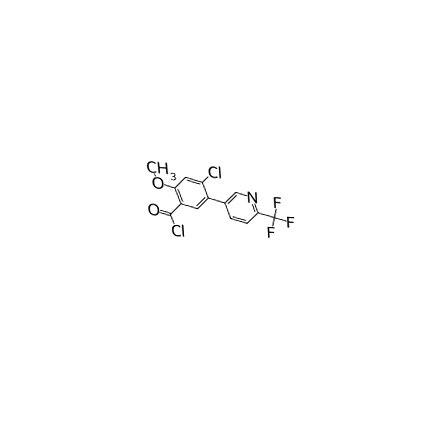 COc1cc(Cl)c(-c2ccc(C(F)(F)F)nc2)cc1C(=O)Cl